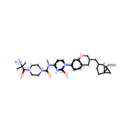 CNCC12CCC(CC3COc4cc(-n5ccc(N(C)C(=O)N6CCN(C(=O)C(C)(C)N)CC6)nc5=O)ccc4C3)CC1C2